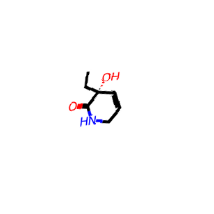 CC[C@@]1(O)C=CCNC1=O